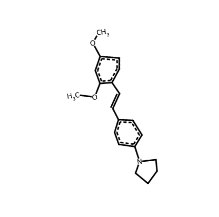 COc1ccc(C=Cc2ccc(N3CCCC3)cc2)c(OC)c1